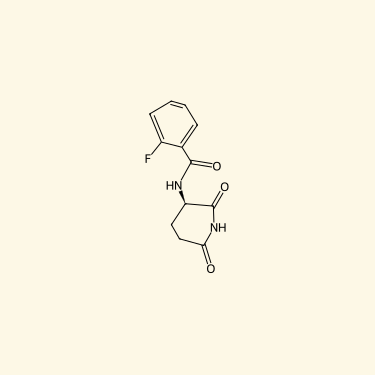 O=C1CC[C@@H](NC(=O)c2ccccc2F)C(=O)N1